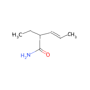 CC=CC(CC)C(N)=O